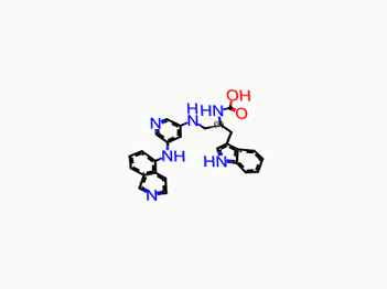 O=C(O)N[C@H](CNc1cncc(Nc2cccc3cnccc23)c1)Cc1c[nH]c2ccccc12